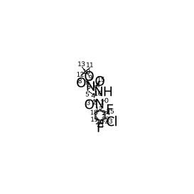 CN(C(=O)[C@@H]1CN(C(=O)OC(C)(C)C)C(=O)N1)c1ccc(F)c(Cl)c1F